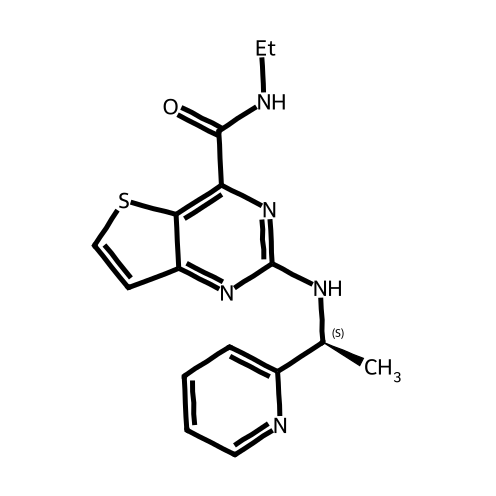 CCNC(=O)c1nc(N[C@@H](C)c2ccccn2)nc2ccsc12